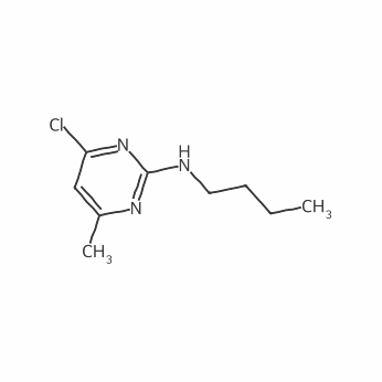 CCCCNc1nc(C)cc(Cl)n1